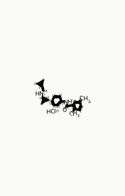 Cc1ccc(C)c(C(=O)Nc2ccc([C@@H]3C[C@H]3NCC3CC3)cc2)c1.Cl